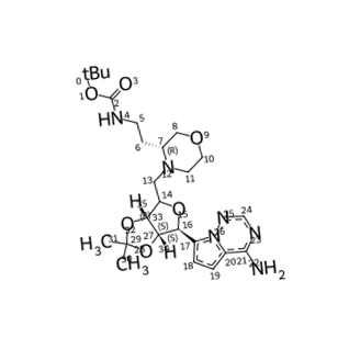 CC(C)(C)OC(=O)NCC[C@@H]1COCCN1CC1O[C@@H](c2ccc3c(N)ncnn23)[C@@H]2OC(C)(C)O[C@H]12